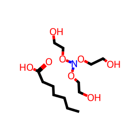 CCCCCCC(=O)O.OCCON(OCCO)OCCO